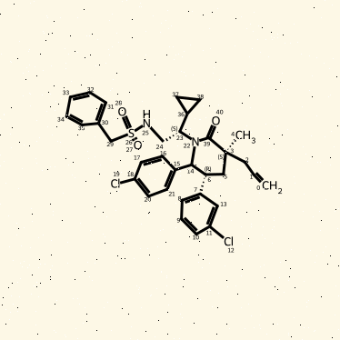 C=CC[C@@]1(C)C[C@H](c2cccc(Cl)c2)C(c2ccc(Cl)cc2)N([C@H](CNS(=O)(=O)Cc2ccccc2)C2CC2)C1=O